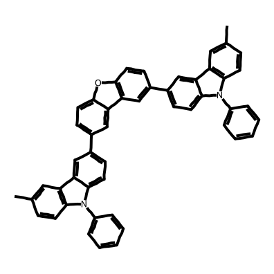 Cc1ccc2c(c1)c1cc(-c3ccc4oc5ccc(-c6ccc7c(c6)c6cc(C)ccc6n7-c6ccccc6)cc5c4c3)ccc1n2-c1ccccc1